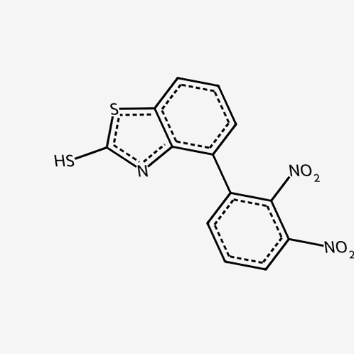 O=[N+]([O-])c1cccc(-c2cccc3sc(S)nc23)c1[N+](=O)[O-]